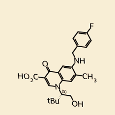 Cc1cc2c(cc1NCc1ccc(F)cc1)c(=O)c(C(=O)O)cn2[C@H](CO)C(C)(C)C